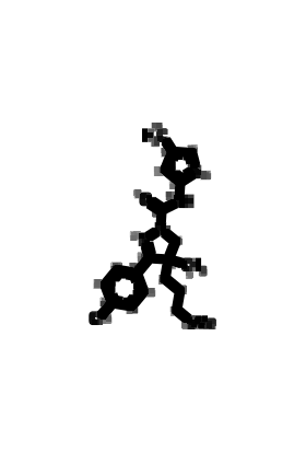 CSCCCC1(C)CN(C(=O)Nc2cc(C)cs2)N=C1c1ccc(Cl)cc1